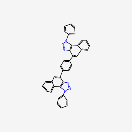 c1ccc(-n2nnc3c(-c4ccc(-c5cc6ccccc6c6c5nnn6-c5ccccc5)cc4)cc4ccccc4c32)cc1